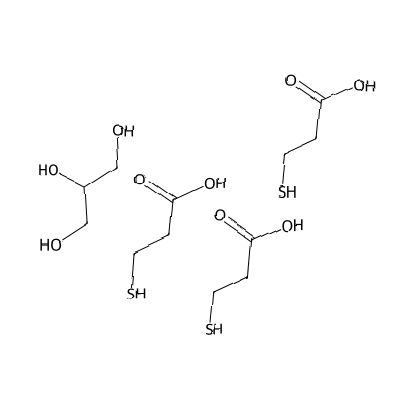 O=C(O)CCS.O=C(O)CCS.O=C(O)CCS.OCC(O)CO